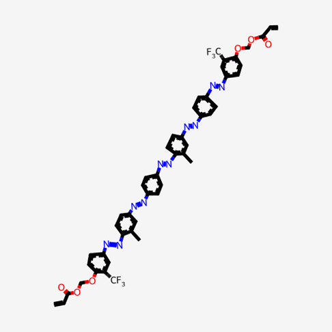 C=CC(=O)OCOc1ccc(N=Nc2ccc(N=Nc3ccc(N=Nc4ccc(N=Nc5ccc(N=Nc6ccc(OCOC(=O)C=C)c(C(F)(F)F)c6)c(C)c5)cc4)c(C)c3)cc2)cc1C(F)(F)F